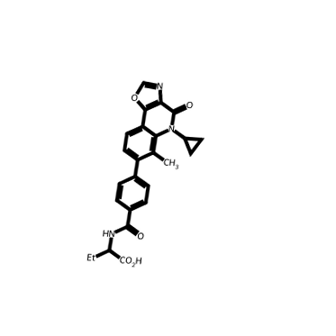 CCC(NC(=O)c1ccc(-c2ccc3c4ocnc4c(=O)n(C4CC4)c3c2C)cc1)C(=O)O